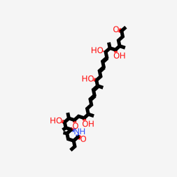 CCC1CC(C)C2(NC1=O)OC(CC(O)C(C)CC/C=C/C=C(\C)C(O)C/C=C/C=C/[C@H](O)C(C)C(O)C(C)CCC(C)=O)C(C)C(O)C2C